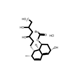 CCC(C)C(=O)O[C@H]1C[C@H](O)C=C2C=C[C@H](C)[C@H](CCC(O)CC(O)CC(=O)O)[C@H]21.Cl